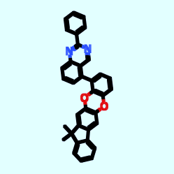 CC1(C)c2ccccc2-c2cc3c(cc21)Oc1c(cccc1-c1cccc2nc(-c4ccccc4)ncc12)O3